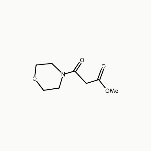 COC(=O)CC(=O)N1CCOCC1